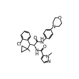 Cn1nccc1C(=O)N[C@H](C(=O)Nc1ccc(N2CCOCC2)cc1)C(c1ccccc1Cl)C1(C)CC1